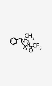 C[C@H]1CN(C(=O)C(F)(F)F)C2(CC2)CN1Cc1ccccc1